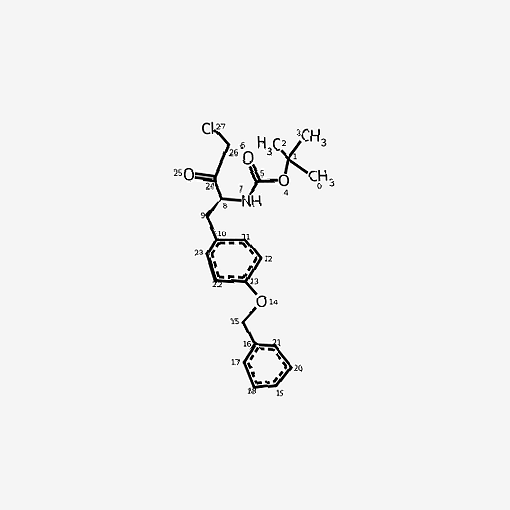 CC(C)(C)OC(=O)N[C@@H](Cc1ccc(OCc2ccccc2)cc1)C(=O)CCl